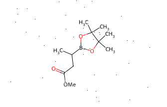 COC(=O)CC(C)B1OC(C)(C)C(C)(C)O1